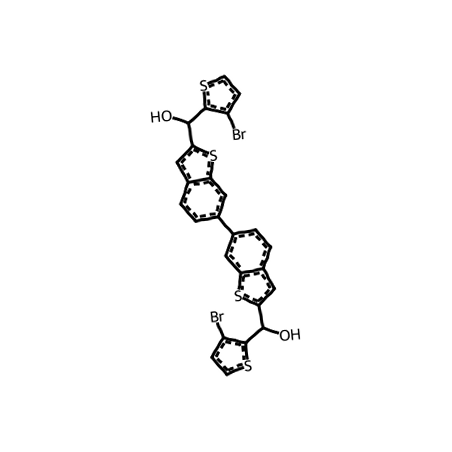 OC(c1cc2ccc(-c3ccc4cc(C(O)c5sccc5Br)sc4c3)cc2s1)c1sccc1Br